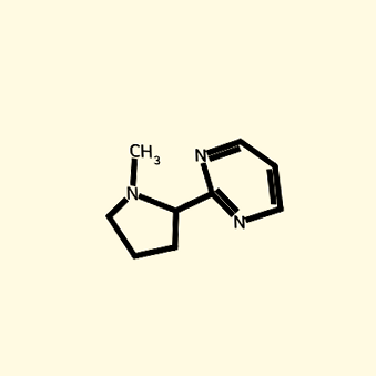 CN1CCCC1c1ncccn1